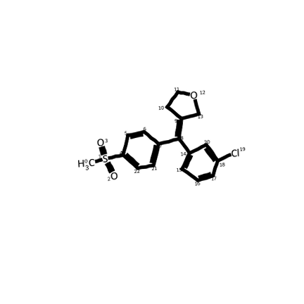 CS(=O)(=O)c1ccc(C(=C2CCOC2)c2cccc(Cl)c2)cc1